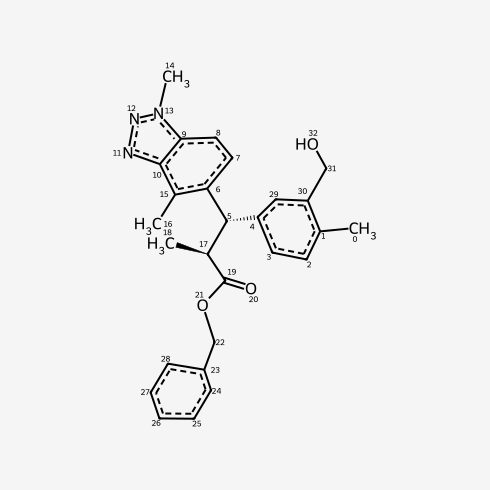 Cc1ccc([C@@H](c2ccc3c(nnn3C)c2C)[C@H](C)C(=O)OCc2ccccc2)cc1CO